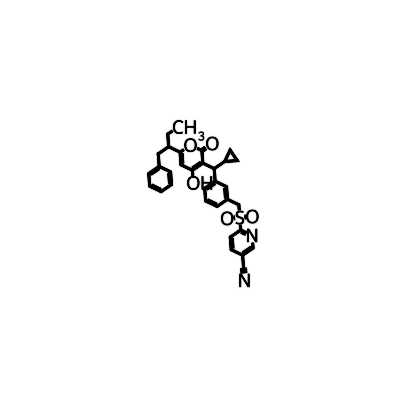 CCC(Cc1ccccc1)c1cc(O)c(C(c2cccc(CS(=O)(=O)c3ccc(C#N)cn3)c2)C2CC2)c(=O)o1